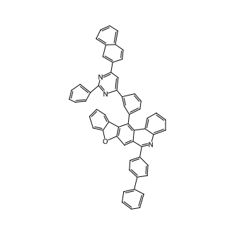 c1ccc(-c2ccc(-c3nc4ccccc4c4c(-c5cccc(-c6cc(-c7ccc8ccccc8c7)nc(-c7ccccc7)n6)c5)c5c(cc34)oc3ccccc35)cc2)cc1